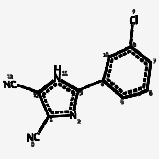 N#Cc1nc(-c2cccc(Cl)c2)[nH]c1C#N